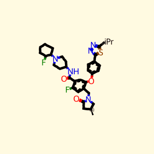 CC(C)c1nnc(-c2ccc(Oc3cc(C(=O)NC4CCN(C5CCCCC5F)CC4)c(F)cc3CN3C[C@@H](C)CC3=O)cc2)s1